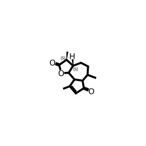 CC1=CC(=O)C2C(C)CC[C@@H]3C(OC(=O)[C@H]3C)C12